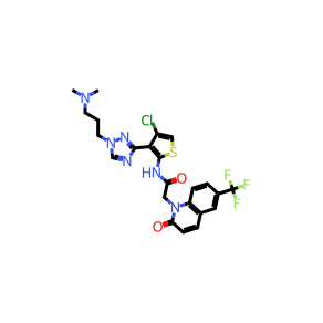 CN(C)CCCn1cnc(-c2c(Cl)csc2NC(=O)Cn2c(=O)ccc3cc(C(F)(F)F)ccc32)n1